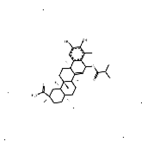 Cc1c(O)c(O)cc2c1C(SC(=O)C(C)C)C=C1[C@@]2(C)CC[C@@]2(C)[C@@H]3C[C@](C)(C(N)=O)CC[C@]3(C)CC[C@]12C